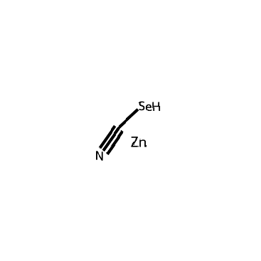 N#C[SeH].[Zn]